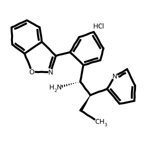 CC[C@H](c1ccccn1)[C@H](N)c1ccccc1-c1noc2ccccc12.Cl